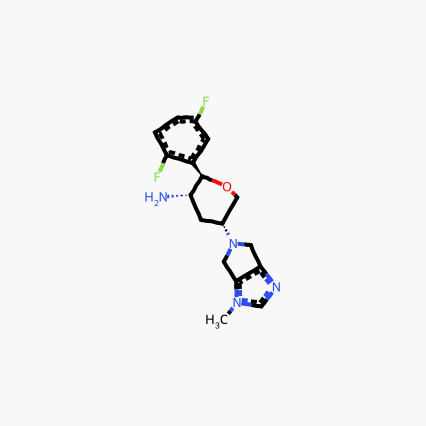 Cn1cnc2c1CN([C@H]1CO[C@H](c3cc(F)ccc3F)[C@@H](N)C1)C2